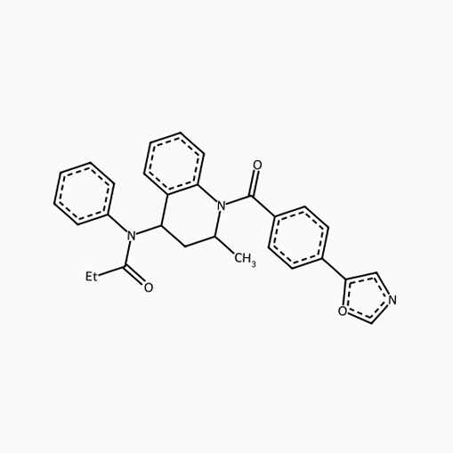 CCC(=O)N(c1ccccc1)C1CC(C)N(C(=O)c2ccc(-c3cnco3)cc2)c2ccccc21